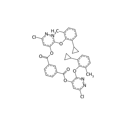 Cc1cccc(C2CC2)c1Oc1nnc(Cl)cc1OC(=O)c1cccc(C(=O)Oc2cc(Cl)nnc2Oc2c(C)cccc2C2CC2)c1